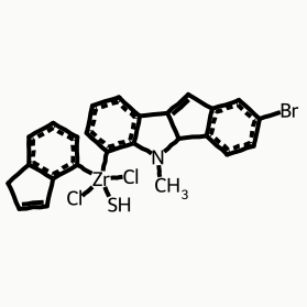 CN1c2c(ccc[c]2[Zr]([SH])([Cl])([Cl])[c]2cccc3c2C=CC3)C2=Cc3cc(Br)ccc3C21